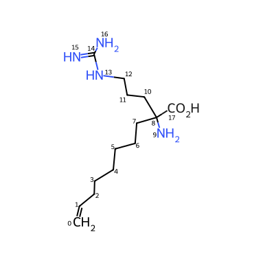 C=CCCCCCCC(N)(CCCNC(=N)N)C(=O)O